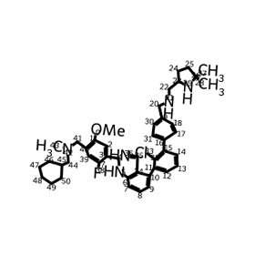 COc1cc(CNc2cccc(-c3cccc(-c4ccc(CNCC5CCC(C)(C)N5)cc4)c3Cl)c2C=N)c(F)cc1CN(C)CC1CCCCC1